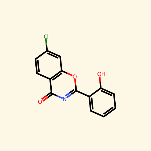 O=c1nc(-c2ccccc2O)oc2cc(Cl)ccc12